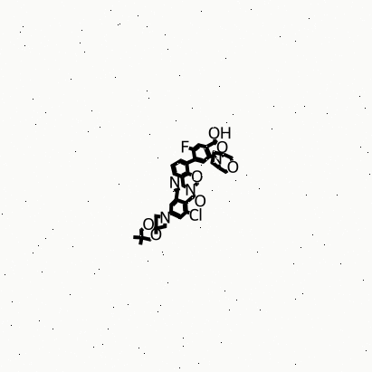 CC1(C)COC2(CN(c3cc(Cl)c(C(=O)N4COc5c(cccc5-c5cc(N6C7CCC6COC7)c(C(=O)O)cc5F)C4)c(C#N)c3)C2)OC1